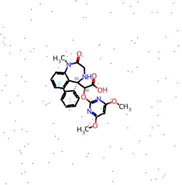 COc1cc(OC)nc(O[C@H](C(=O)O)[C@]2(c3ccccc3F)NCC(=O)N(C)c3ccccc32)n1